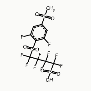 CS(=O)(=O)c1cc(F)c(S(=O)(=O)C(F)(F)C(F)(F)C(F)(F)C(F)(F)S(=O)(=O)O)c(F)c1